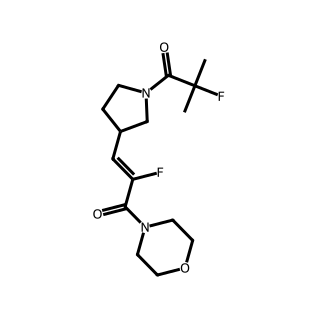 CC(C)(F)C(=O)N1CCC(/C=C(\F)C(=O)N2CCOCC2)C1